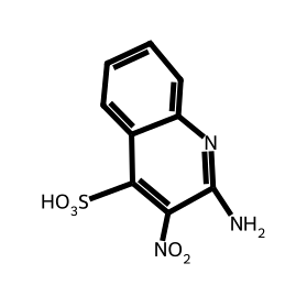 Nc1nc2ccccc2c(S(=O)(=O)O)c1[N+](=O)[O-]